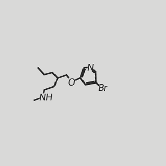 CCCC(CCNC)COc1cncc(Br)c1